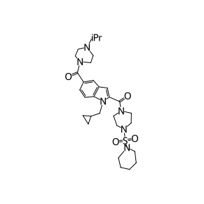 CC(C)N1CCN(C(=O)c2ccc3c(c2)cc(C(=O)N2CCN(S(=O)(=O)N4CCCCC4)CC2)n3CC2CC2)CC1